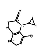 CC(C)C1=CCNC2=C1N(C1CC1)C(=O)CC2